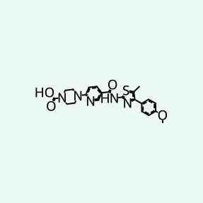 COc1ccc(-c2nc(NC(=O)c3ccc(N4CCN(C(=O)O)CC4)nc3)sc2C)cc1